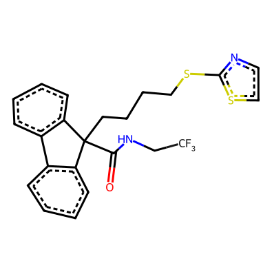 O=C(NCC(F)(F)F)C1(CCCCSc2nccs2)c2ccccc2-c2ccccc21